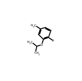 Cc1ccc(F)c(OC(C)C)c1